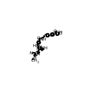 CCSN1CC(CC#N)(n2cc(-c3nc(Nc4ccc(C(=O)NCCCN5CCN(c6ccc(N7CCC(=O)NC7=O)cc6)CC5)cc4)nc4[nH]ccc34)cn2)C1